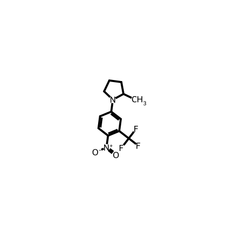 CC1CCCN1c1ccc([N+](=O)[O-])c(C(F)(F)F)c1